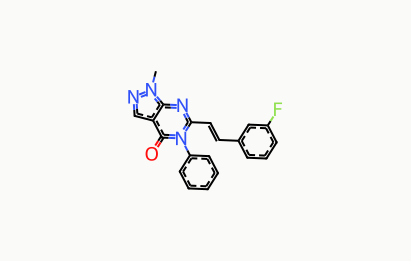 Cn1ncc2c(=O)n(-c3ccccc3)c(C=Cc3cccc(F)c3)nc21